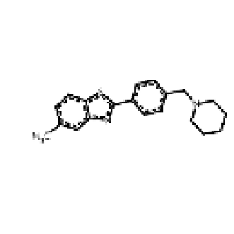 Cc1ccc2sc(-c3ccc(CN4CCCCC4)cc3)nc2c1